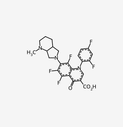 CN1CCCC2CN(c3c(F)c(F)c4c(=O)c(C(=O)O)cn(-c5ccc(F)cc5F)c4c3F)CC21